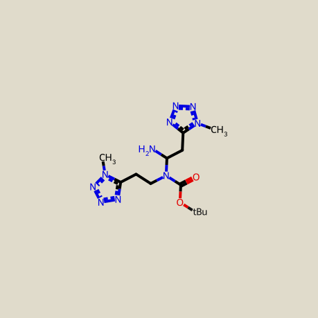 Cn1nnnc1CCN(C(=O)OC(C)(C)C)C(N)Cc1nnnn1C